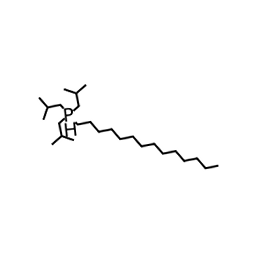 CCCCCCCCCCCCCC[PH](CC(C)C)(CC(C)C)CC(C)C